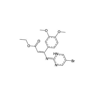 CCOC(=O)/C=C(/N=c1/ncc(Br)c[nH]1)c1ccc(OC)c(OC)c1